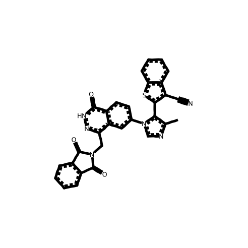 Cc1ncn(-c2ccc3c(=O)[nH]nc(CN4C(=O)c5ccccc5C4=O)c3c2)c1-c1sc2ccccc2c1C#N